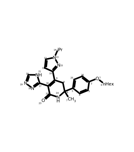 CCCCCCOc1ccc(C2(C)CC(c3ccn(C(C)C)n3)=C(c3nnc[nH]3)C(=O)N2)cc1